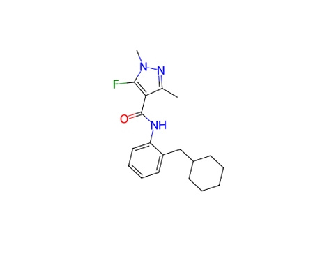 Cc1nn(C)c(F)c1C(=O)Nc1ccccc1CC1CCCCC1